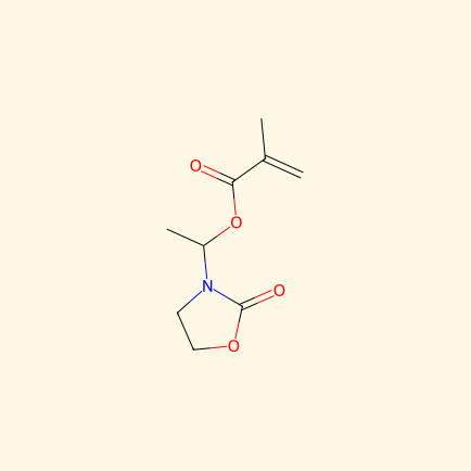 C=C(C)C(=O)OC(C)N1CCOC1=O